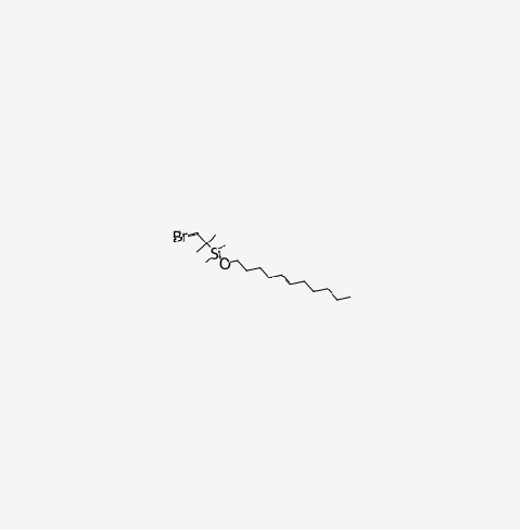 CCCCCCCCCCCO[Si](C)(C)C(C)(C)CBr